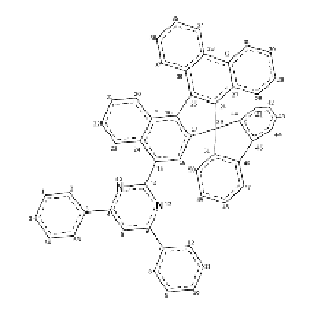 c1ccc(-c2cc(-c3ccccc3)nc(-c3cc4c(c5ccccc35)-c3c(c5ccccc5c5ccccc35)C43c4ccccc4-c4ccccc43)n2)cc1